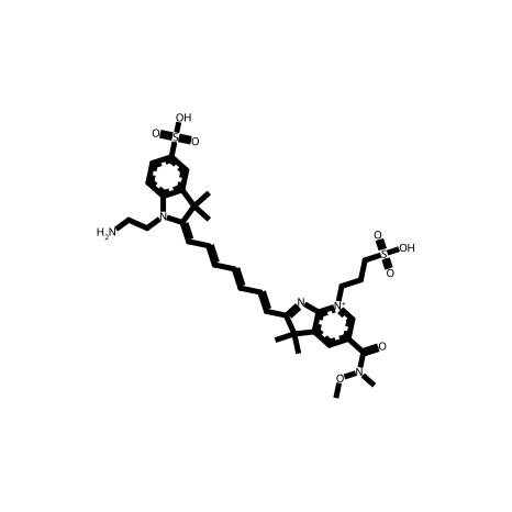 CON(C)C(=O)c1cc2c([n+](CCCS(=O)(=O)O)c1)N=C(/C=C/C=C/C=C/C=C1/N(CCN)c3ccc(S(=O)(=O)O)cc3C1(C)C)C2(C)C